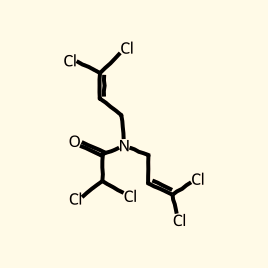 O=C(C(Cl)Cl)N(CC=C(Cl)Cl)CC=C(Cl)Cl